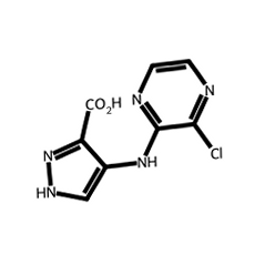 O=C(O)c1n[nH]cc1Nc1nccnc1Cl